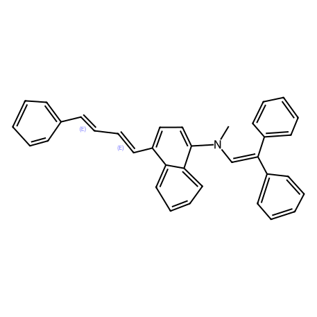 CN(C=C(c1ccccc1)c1ccccc1)c1ccc(/C=C/C=C/c2ccccc2)c2ccccc12